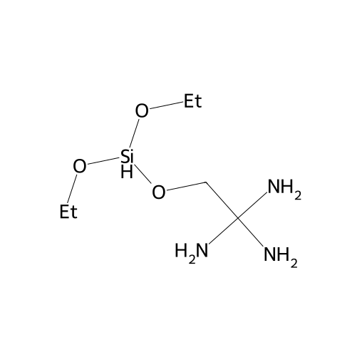 CCO[SiH](OCC)OCC(N)(N)N